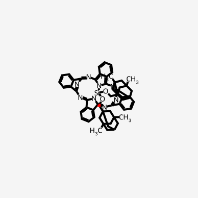 CC12CC3CC(C)(C1)CC(CO[Si]1(OCC45CC6CC(C)(CC(C)(C6)C4)C5)n4c5c6ccccc6c4/N=C4N=C(/N=c6/c7ccccc7/c(n61)=N/C1=NC(=N\5)/c5ccccc51)c1ccccc1\4)(C3)C2